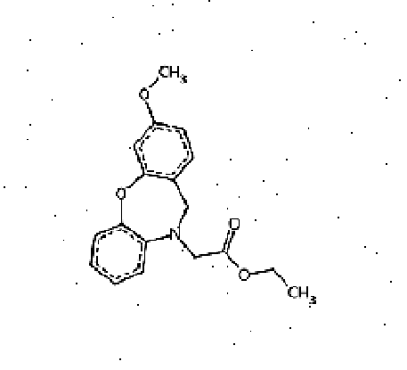 CCOC(=O)CN1Cc2ccc(OC)cc2Oc2ccccc21